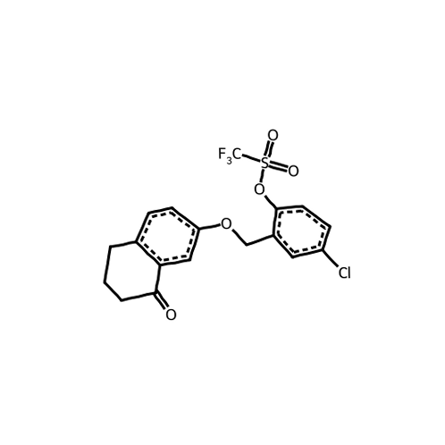 O=C1CCCc2ccc(OCc3cc(Cl)ccc3OS(=O)(=O)C(F)(F)F)cc21